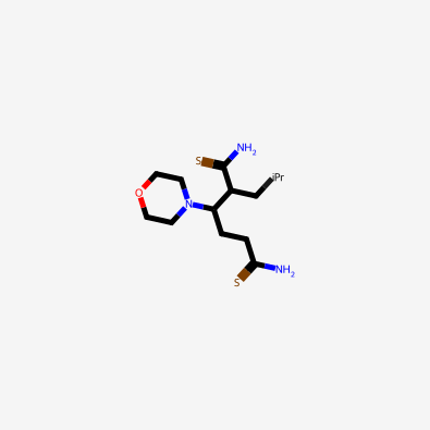 CC(C)CC(C(N)=S)C(CCC(N)=S)N1CCOCC1